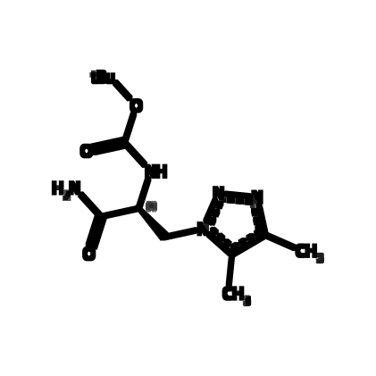 Cc1nnn(C[C@H](NC(=O)OC(C)(C)C)C(N)=O)c1C